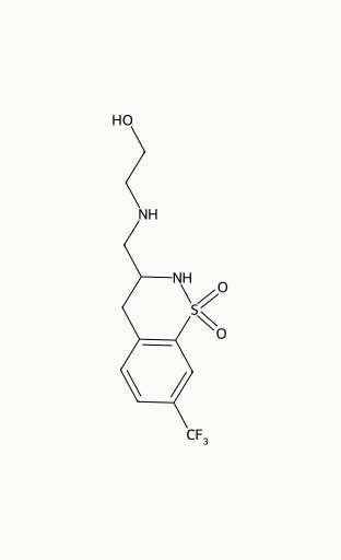 O=S1(=O)NC(CNCCO)Cc2ccc(C(F)(F)F)cc21